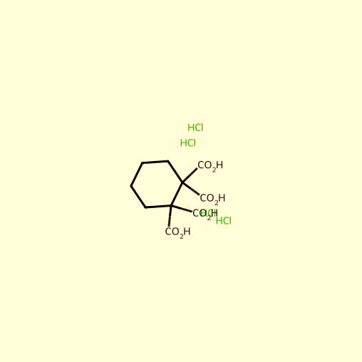 Cl.Cl.Cl.Cl.O=C(O)C1(C(=O)O)CCCCC1(C(=O)O)C(=O)O